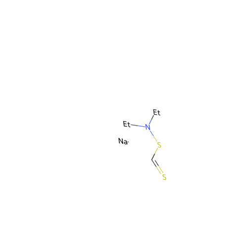 CCN(CC)SC=S.[Na]